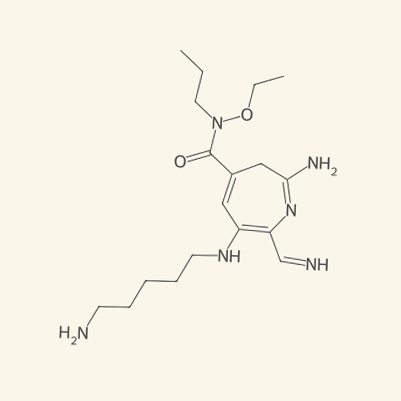 CCCN(OCC)C(=O)C1=CC(NCCCCCN)=C(C=N)N=C(N)C1